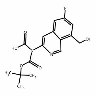 CC(C)(C)OC(=O)N(C(=O)O)c1cc2cc(F)cc(CO)c2cn1